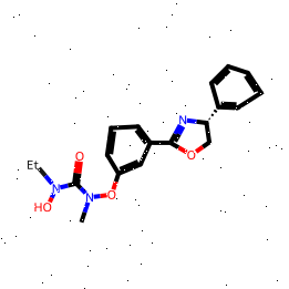 CCN(O)C(=O)N(C)Oc1cccc(C2=N[C@H](c3ccccc3)CO2)c1